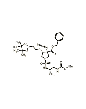 C[C@H](CNC(=O)OC(C)(C)C)NS(=O)(=O)N1C[C@H](CCCB2OC(C)(C)C(C)(C)O2)[C@](N=[N+]=[N-])(C(=O)OCc2ccccc2)C1